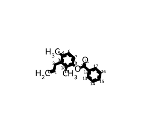 C=CCc1c(C)ccc(OC(=O)c2ccccc2)c1C